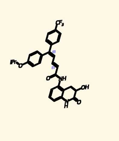 CC(C)Oc1ccc(/C(=C\C=C\C(=O)Nc2cccc3c2CC(O)C(=O)N3)c2ccc(C(F)(F)F)cc2)cc1